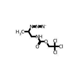 CC(CNC(=O)OCC(Cl)(Cl)Cl)N=[N+]=[N-]